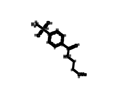 COCCNC(=O)c1ccc(S(N)(=O)=O)cc1